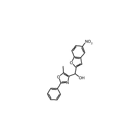 Cc1oc(-c2ccccc2)nc1C(O)c1cc2cc([N+](=O)[O-])ccc2o1